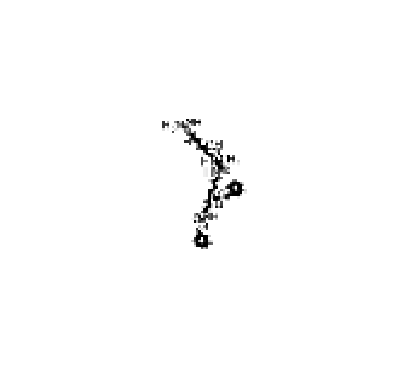 C[C@H](NC(=O)CC(O)CCCCNC(=N)N)C(=O)NCCCCN(CCCNC(=O)OCc1ccccc1)C(=O)OCc1ccccc1